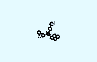 c1cncc(-c2ccc(-c3nc(-c4ccc5oc6ccccc6c5c4)cc(-c4ccc5ccc6cccc7ccc4c5c67)n3)cc2)c1